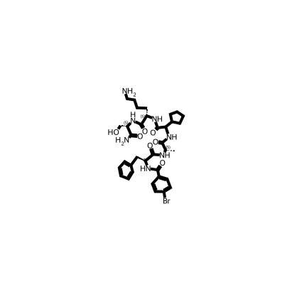 C[C@H](NC(=O)[C@H](Cc1ccccc1)NC(=O)c1ccc(Br)cc1)C(=O)NC(C(=O)N[C@@H](CCCCN)C(=O)N[C@@H](CO)C(N)=O)C1CCCC1